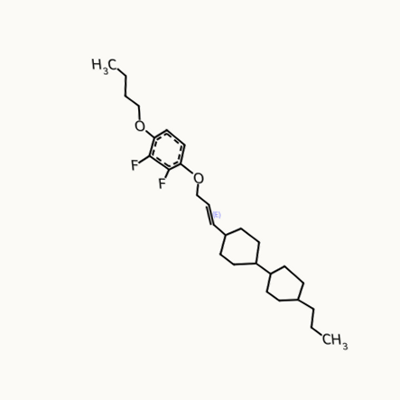 CCCCOc1ccc(OC/C=C/C2CCC(C3CCC(CCC)CC3)CC2)c(F)c1F